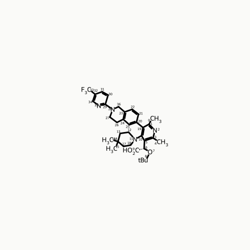 Cc1nc(C)c([C@H](OC(C)(C)C)C(=O)O)c(N2CCC(C)(C)CC2)c1-c1ccc2c(c1)CCN(c1ccc(C(F)(F)F)cn1)C2